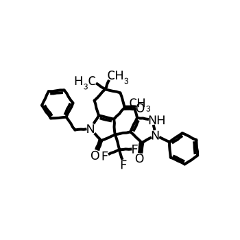 Cc1[nH]n(-c2ccccc2)c(=O)c1C1(C(F)(F)F)C(=O)N(Cc2ccccc2)C2=C1C(=O)CC(C)(C)C2